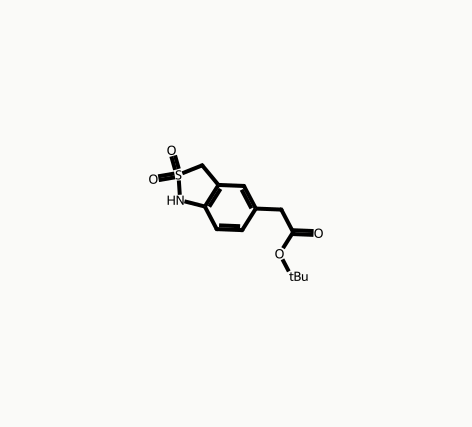 CC(C)(C)OC(=O)Cc1ccc2c(c1)CS(=O)(=O)N2